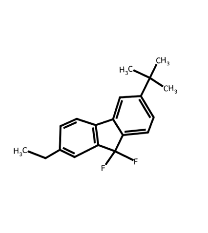 CCc1ccc2c(c1)C(F)(F)c1ccc(C(C)(C)C)cc1-2